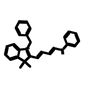 CC1(C)C(/C=C/C=C/Nc2ccccc2)=[N+](Cc2ccccc2)c2ccccc21